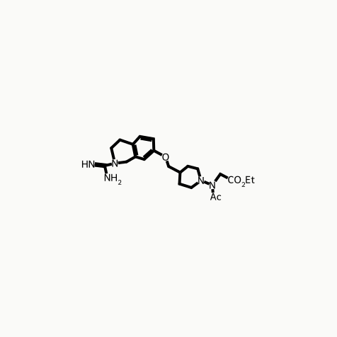 CCOC(=O)CN(C(C)=O)N1CCC(COc2ccc3c(c2)CN(C(=N)N)CC3)CC1